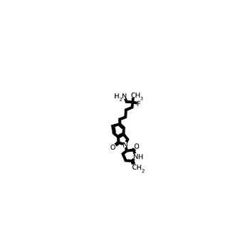 C=C1CCC(N2Cc3cc(CCCCC(C)(F)CN)ccc3C2=O)C(=O)N1